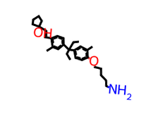 CCC(CC)(c1ccc(C=CC2(O)CCCC2)c(C)c1)c1ccc(OCCCCCN)c(C)c1